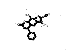 Cc1c(C#N)oc2c(C)c3oc(=O)cc(-c4ccccc4)c3cc12